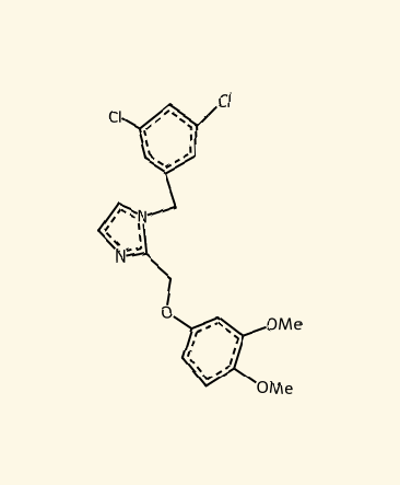 COc1ccc(OCc2nccn2Cc2cc(Cl)cc(Cl)c2)cc1OC